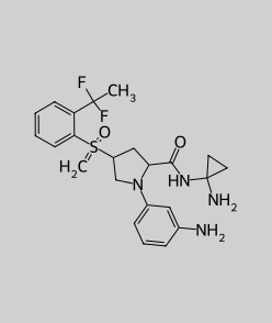 C=S(=O)(c1ccccc1C(C)(F)F)C1CC(C(=O)NC2(N)CC2)N(c2cccc(N)c2)C1